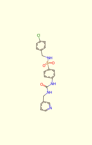 O=C(NCc1cccnc1)Nc1ccc(S(=O)(=O)NCc2ccc(Cl)cc2)cc1